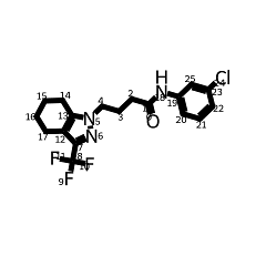 O=C(CCCn1nc(C(F)(F)F)c2c1CCCC2)Nc1cccc(Cl)c1